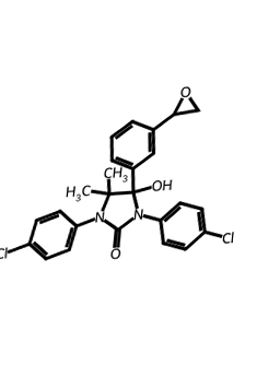 CC1(C)N(c2ccc(Cl)cc2)C(=O)N(c2ccc(Cl)cc2)C1(O)c1cccc(C2CO2)c1